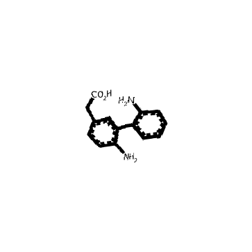 Nc1ccccc1-c1cc(CC(=O)O)ccc1N